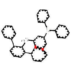 Fc1cc(Nc2c(-c3ccccc3)cccc2-c2ccccc2)cc(N(c2ccccc2)c2ccccc2)c1